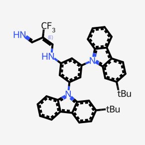 CC(C)(C)c1ccc2c3ccccc3n(-c3cc(N/C=C(\C=N)C(F)(F)F)cc(-n4c5ccccc5c5ccc(C(C)(C)C)cc54)c3)c2c1